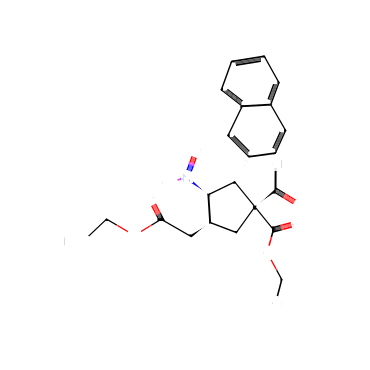 CCOC(=O)C[C@@H]1C[C@@](C(C)=O)(C(=O)OCC)[C@@H](c2ccc3ccccc3c2)[C@@H]1[N+](=O)[O-]